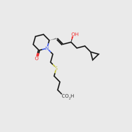 O=C(O)CCCSCCN1C(=O)CCC[C@@H]1C=C[C@@H](O)CCC1CC1